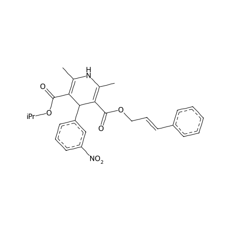 CC1=C(C(=O)OCC=Cc2ccccc2)C(c2cccc([N+](=O)[O-])c2)C(C(=O)OC(C)C)=C(C)N1